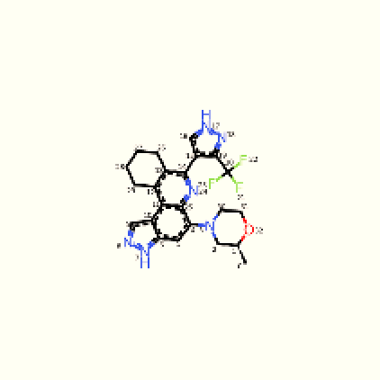 C[C@H]1CN(c2cc3[nH]ncc3c3c4c(c(-c5c[nH]nc5C(F)(F)F)nc23)CCCC4)CCO1